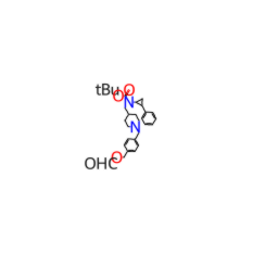 CC(C)(C)OC(=O)N(CC1CCN(Cc2ccc(COC=O)cc2)CC1)C1CC1c1ccccc1